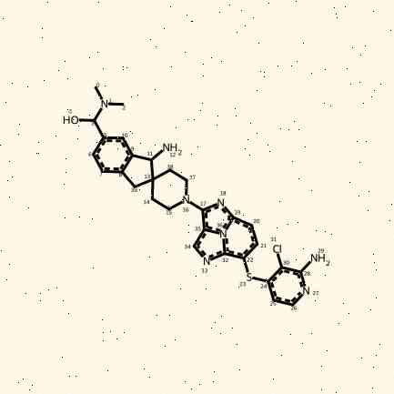 CN(C)C(O)c1ccc2c(c1)C(N)C1(CCN(c3nc4ccc(Sc5ccnc(N)c5Cl)c5ncc3n45)CC1)C2